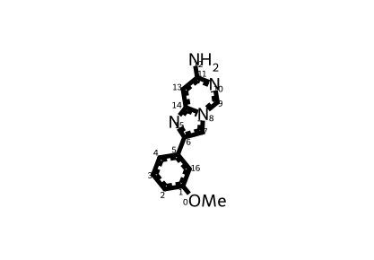 COc1cccc(-c2cn3cnc(N)cc3n2)c1